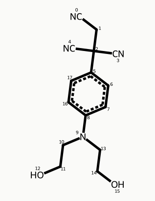 N#CCC(C#N)(C#N)c1ccc(N(CCO)CCO)cc1